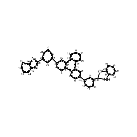 c1cc(-c2ccc3c4ccc(-c5cccc(C6Nc7ccccc7O6)c5)cc4c4ccccc4c3c2)cc(-c2nc3ccccc3o2)c1